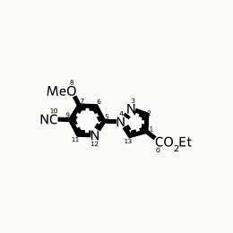 CCOC(=O)c1cnn(-c2cc(OC)c(C#N)cn2)c1